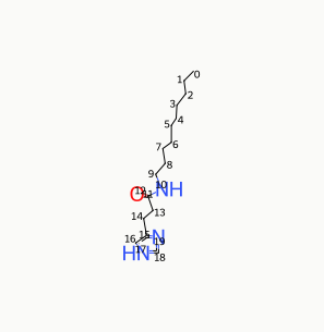 CCCCCCCCCCNC(=O)CCc1c[nH]cn1